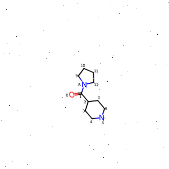 O=C(C1CC[N]CC1)N1CCCC1